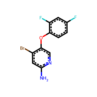 Nc1cc(Br)c(Oc2ccc(F)cc2F)cn1